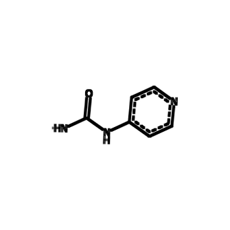 [NH]C(=O)Nc1ccncc1